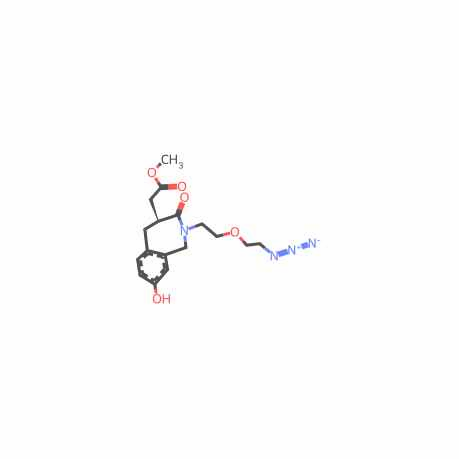 COC(=O)C[C@@H]1Cc2ccc(O)cc2CN(CCOCCN=[N+]=[N-])C1=O